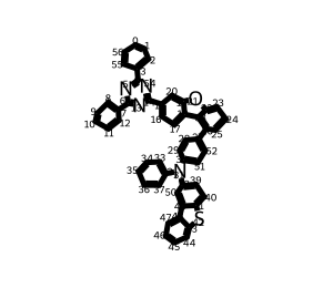 c1ccc(-c2nc(-c3ccccc3)nc(-c3ccc4c(c3)oc3cccc(-c5ccc(N(c6ccccc6)c6ccc7sc8ccccc8c7c6)cc5)c34)n2)cc1